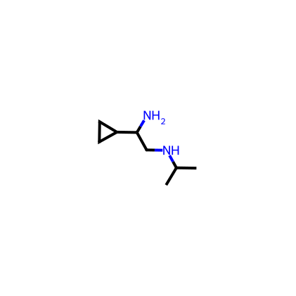 CC(C)NCC(N)C1CC1